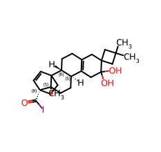 CC1(C)CC2(CC3=C(CC2(O)O)[C@H]2CC[C@@]4(C)C5(C=C[C@]4(C(=O)I)CC5)[C@@H]2CC3)C1